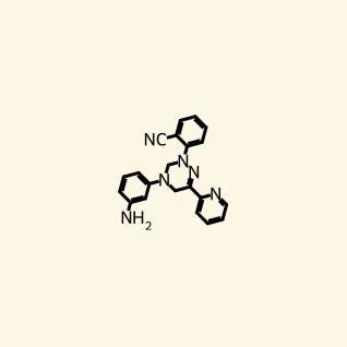 N#Cc1ccccc1N1CN(c2cccc(N)c2)CC(c2ccccn2)=N1